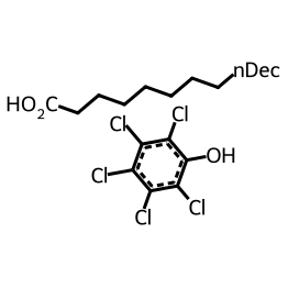 CCCCCCCCCCCCCCCCCC(=O)O.Oc1c(Cl)c(Cl)c(Cl)c(Cl)c1Cl